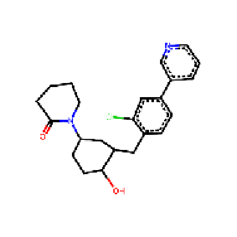 O=C1CCCCN1C1CCC(O)C(Cc2ccc(-c3cccnc3)cc2Cl)C1